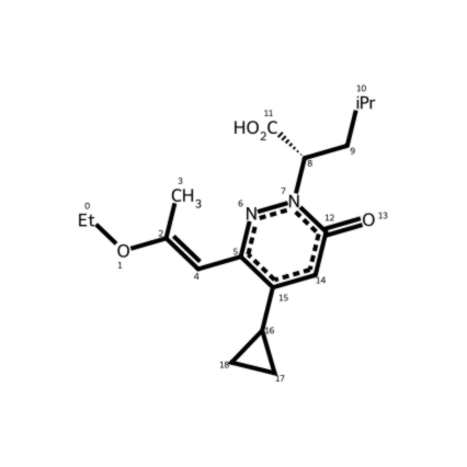 CCO/C(C)=C/c1nn([C@@H](CC(C)C)C(=O)O)c(=O)cc1C1CC1